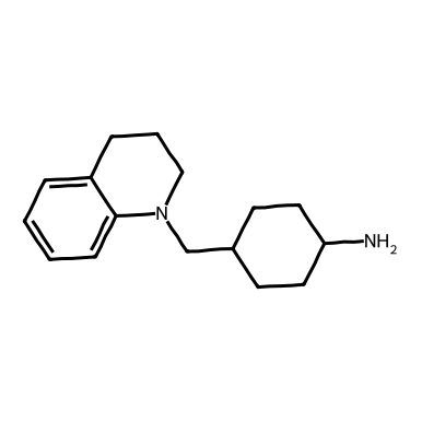 NC1CCC(CN2CCCc3ccccc32)CC1